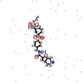 CCCS(=O)(=O)Nc1cccc(S(=O)(=O)c2ccc(CNC(=O)c3cc4ccncc4o3)cc2)c1